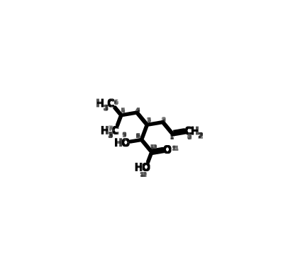 C=CCC(CC(C)C)C(O)C(=O)O